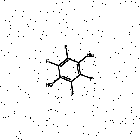 CC(C)(C)c1c(F)c(F)c(O)c(F)c1F